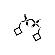 O=S(=O)(CS(=O)(=O)OC1CCC1)OC1CCC1